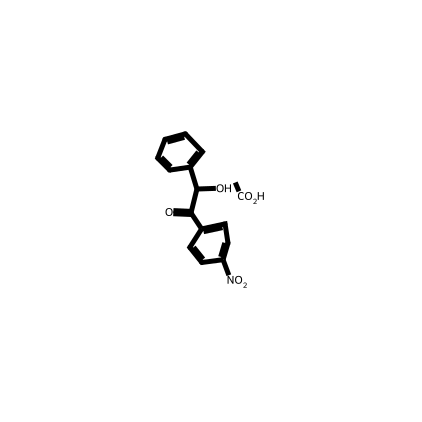 CC(=O)O.O=C(c1ccc([N+](=O)[O-])cc1)C(O)c1ccccc1